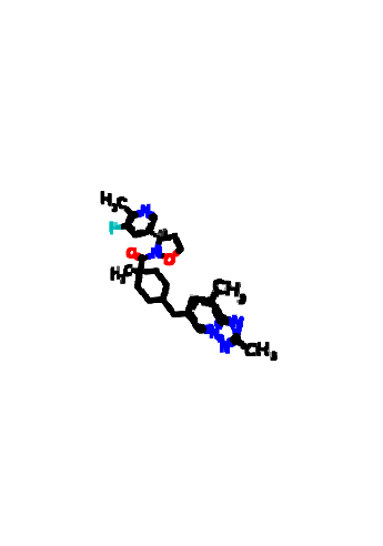 Cc1nc2c(C)cc(CC3CCC(C)(C(=O)N4OCC[C@H]4c4cnc(C)c(F)c4)CC3)cn2n1